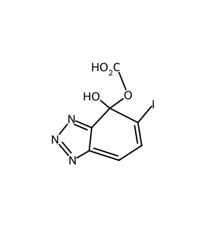 O=C(O)OC1(O)C(I)=CC=C2N=NN=C21